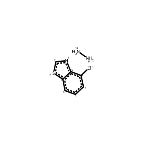 Clc1cccc2scnc12.NN